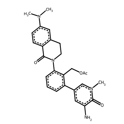 CC(=O)OCc1c(-c2cc(N)c(=O)n(C)c2)cccc1N1CCc2cc(N(C)C)ccc2C1=O